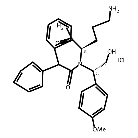 COc1ccc([C@@H](CO)N(C(=O)C(c2ccccc2)c2ccccc2)[C@H](CCCN)C(N)=O)cc1.Cl